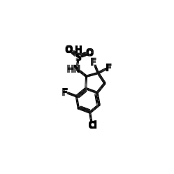 O=[SH](=O)NC1c2c(F)cc(Cl)cc2CC1(F)F